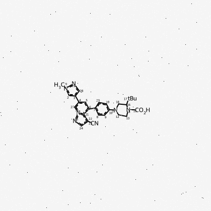 Cn1cc(-c2cc(-c3ccc(N4CCN(C(=O)O)C(C(C)(C)C)C4)cc3)c3c(C#N)cnn3c2)cn1